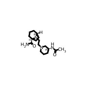 CC(=O)N[C@@H]1CCCN(CCN2[C@@H]3C[CH]C[C@@]2(C(N)=O)CC3)C1